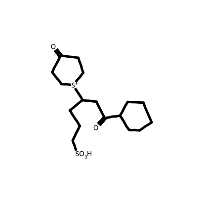 O=C1CC[S+](C(CCCS(=O)(=O)O)CC(=O)C2CCCCC2)CC1